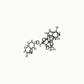 Cc1ccc2ccc(OC[C@H]3O[C@@H](n4ccc5c(C)ncnc54)[C@@H]4OC(C)(C)OC43)cc2n1